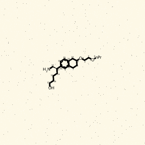 CCCOCCOC1CCc2cc([C@H](CN)CCCCO)ccc2C1